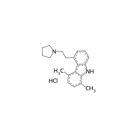 Cc1ccc(C)c2c1[nH]c1cccc(CCN3CCCC3)c12.Cl